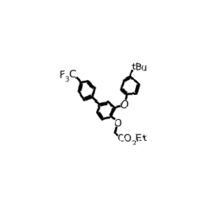 CCOC(=O)COc1ccc(-c2ccc(C(F)(F)F)cc2)cc1Oc1ccc(C(C)(C)C)cc1